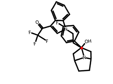 O=C(c1cn(CCCN2C3CCC2CC(O)(c2ccc(F)cc2)C3)c2ccccc12)C(F)(F)F